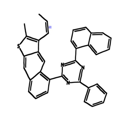 C/C=C\c1c(C)sc2cc3cccc(-c4nc(-c5ccccc5)nc(-c5cccc6ccccc56)n4)c3cc12